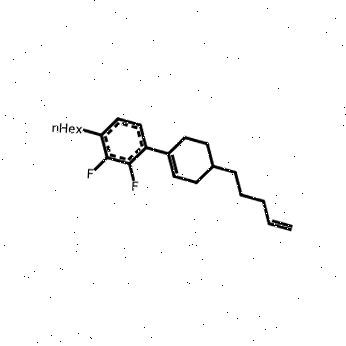 C=CCCCC1CC=C(c2ccc(CCCCCC)c(F)c2F)CC1